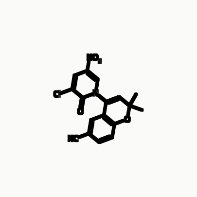 CC1(C)C=C(n2cc([N+](=O)[O-])cc(Cl)c2=O)c2cc(C#N)ccc2O1